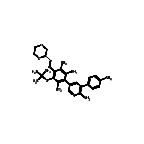 Bc1c(B)c(-c2cnc(N)c(-c3ccc(N)cc3)c2)c(B)c(OC(B)(B)B)c1OC[C@H]1COCCO1